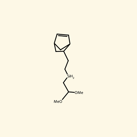 COC(C[SiH2]CCC1CC2C=CC1C2)OC